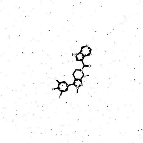 C[C@H]1c2nn(C)c(-c3cc(F)c(F)c(F)c3)c2CCN1C(=O)c1c[nH]c2cnccc12